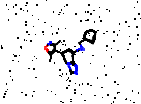 Cc1noc(C)c1-c1cc(NCc2ccccc2)c2nncn2c1